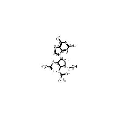 CC(=O)OC1C(OC(C)=O)[C@@H](CO)O[C@H]1n1cnc2c(Cl)nc(I)nc21